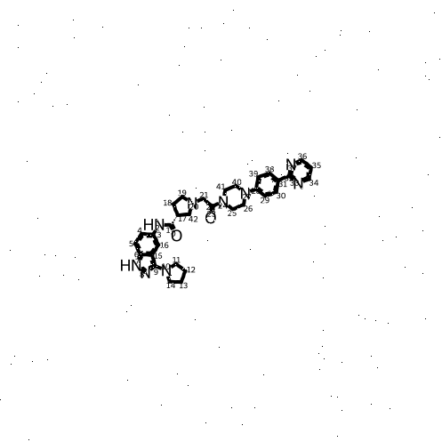 O=C(Nc1ccc2[nH]nc(N3CCCC3)c2c1)[C@@H]1CCN(CC(=O)N2CCN(c3ccc(-c4ncccn4)cc3)CC2)C1